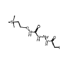 C[Si](C)(C)CCONC(=O)NNNC(=O)CI